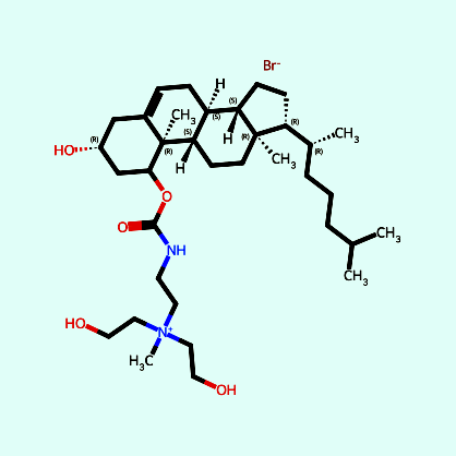 CC(C)CCC[C@@H](C)[C@H]1CC[C@H]2[C@@H]3CC=C4C[C@@H](O)CC(OC(=O)NCC[N+](C)(CCO)CCO)[C@]4(C)[C@H]3CC[C@]12C.[Br-]